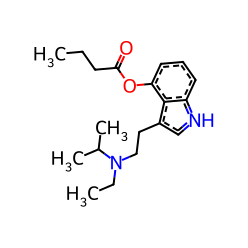 CCCC(=O)Oc1cccc2[nH]cc(CCN(CC)C(C)C)c12